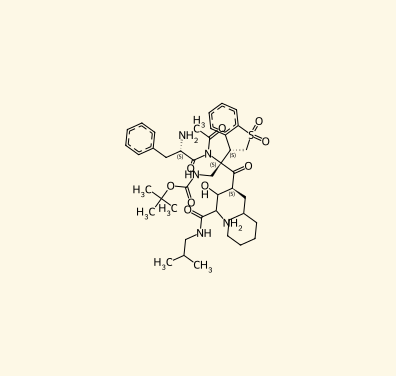 CC(=O)N(C(=O)[C@@H](N)Cc1ccccc1)[C@@](CNC(=O)OC(C)(C)C)(C(=O)[C@@H](CC1CCCCC1)C(O)C(N)C(=O)NCC(C)C)[C@H]1CS(=O)(=O)c2ccccc21